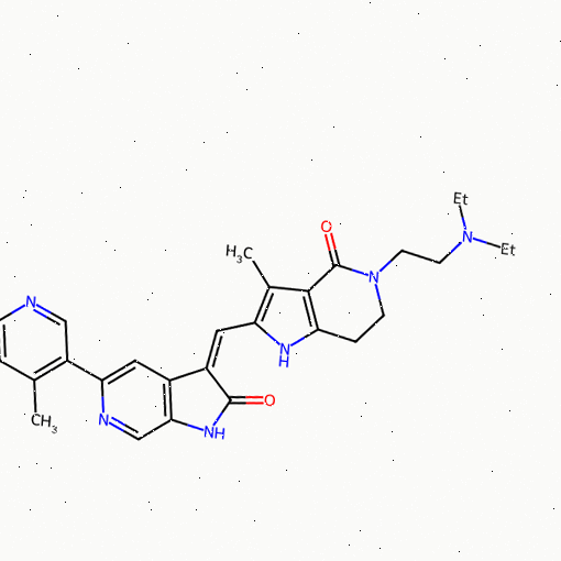 CCN(CC)CCN1CCc2[nH]c(/C=C3\C(=O)Nc4cnc(-c5cnccc5C)cc43)c(C)c2C1=O